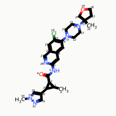 CC1C(C(=O)Nc2cc3cc(N4CCN(C5(C)CCOC5)CC4)c(Cl)cc3cn2)C1c1cnn(C)c1